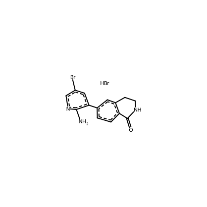 Br.Nc1ncc(Br)cc1-c1ccc2c(c1)CCNC2=O